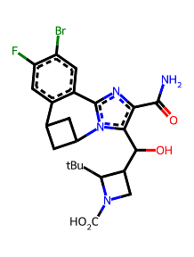 CC(C)(C)C1C(C(O)c2c(C(N)=O)nc3n2C2CC(C2)c2cc(F)c(Br)cc2-3)CN1C(=O)O